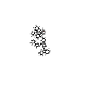 c1ccc(-c2cccc(-n3c4cc(-n5c6ccccc6c6ccccc65)ccc4c4ccc(-n5c6ccccc6c6c([Si](c7ccccc7)(c7ccccc7)c7ccccc7)cccc65)cc43)c2)cc1